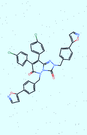 O=c1c(-c2ccc(Cl)cc2)c(-c2ccc(Cl)cc2)c2nn(Cc3ccc(-c4ccno4)cc3)c(=O)n2n1Cc1ccc(-c2ccno2)cc1